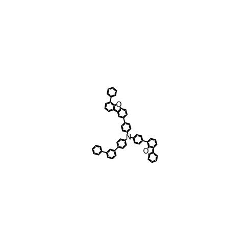 c1ccc(-c2cccc(-c3ccc(N(c4ccc(-c5ccc6oc7c(-c8ccccc8)cccc7c6c5)cc4)c4ccc(-c5cccc6c5oc5ccccc56)cc4)cc3)c2)cc1